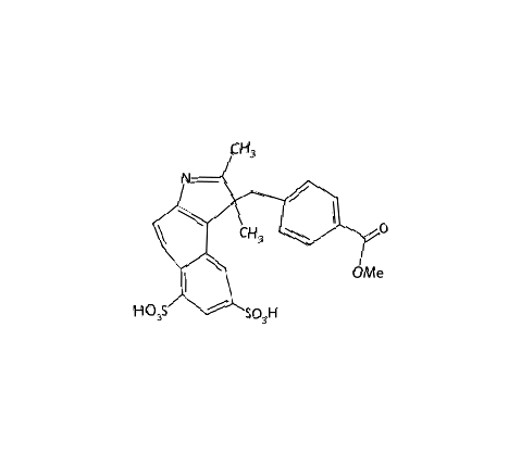 COC(=O)c1ccc(CC2(C)C(C)=Nc3ccc4c(S(=O)(=O)O)cc(S(=O)(=O)O)cc4c32)cc1